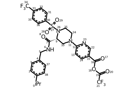 CC(C)c1ccc(CNC(=O)[C@H]2CN(c3ccc(C(=O)OC(=O)C(F)(F)F)cn3)CCN2S(=O)(=O)c2ccc(C(F)(F)F)cc2)cc1